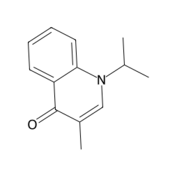 Cc1cn(C(C)C)c2ccccc2c1=O